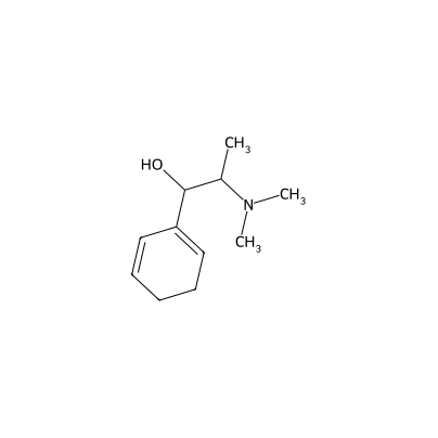 CC(C(O)C1=CCCC=C1)N(C)C